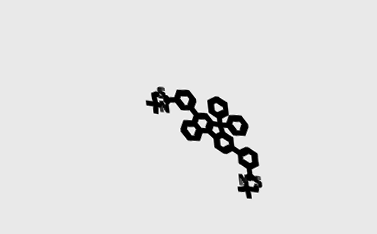 CC1(C)CSC(c2cccc(-c3ccc4c(c3)C(c3ccccc3)(c3ccccc3)c3cc(-c5cccc(C6=NC(C)(C)CS6)c5)c5ccccc5c3-4)c2)=N1